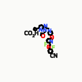 N#Cc1ccc(OCc2nc(OC3CCN(Cc4nc5ccc(C6C#CC6C(=O)O)nc5n4C[C@@H]4CCO4)CC3)ccc2F)c(F)c1